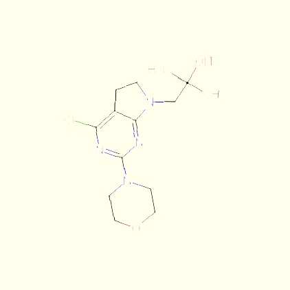 CC(C)(O)CN1CCc2c(Cl)nc(N3CCOCC3)nc21